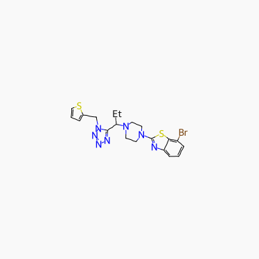 CCC(c1nnnn1Cc1cccs1)N1CCN(c2nc3cccc(Br)c3s2)CC1